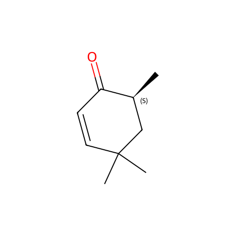 C[C@H]1CC(C)(C)C=CC1=O